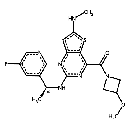 CNc1cc2nc(N[C@@H](C)c3cncc(F)c3)nc(C(=O)N3CC(OC)C3)c2s1